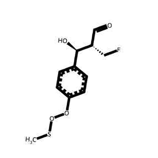 CSOOc1ccc([C@@H](O)[C@H](C=O)CF)cc1